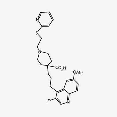 COc1ccc2ncc(F)c(CCCC3(C(=O)O)CCN(CCSc4ccccn4)CC3)c2c1